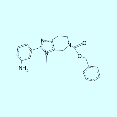 Cn1c(-c2cccc(N)c2)nc2c1CN(C(=O)OCc1ccccc1)CC2